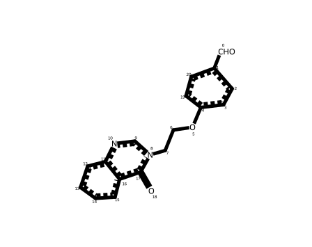 O=Cc1ccc(OCCn2cnc3ccccc3c2=O)cc1